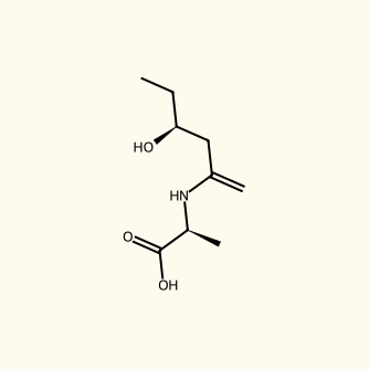 C=C(C[C@@H](O)CC)N[C@@H](C)C(=O)O